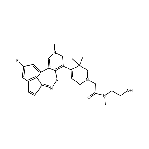 CN1C=C2C(=C(C3=CCN(CC(=O)N(C)CCO)CC3(C)C)C1)NN=C1C=Cc3cc(F)cc2c31